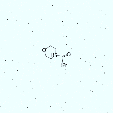 CC(C)C(=O)[SH]1CCOCC1